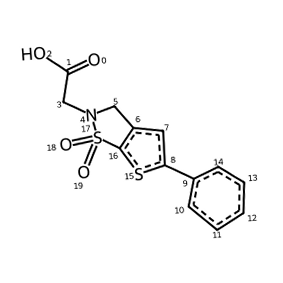 O=C(O)CN1Cc2cc(-c3ccccc3)sc2S1(=O)=O